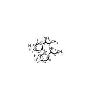 CCC(N)[SiH]1CO[SiH2][SiH2][SiH2]1.CCC(N)[SiH]1CO[SiH2][SiH2][SiH2]1